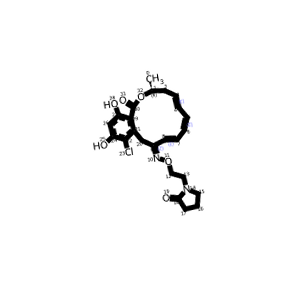 C[C@@H]1C/C=C/C=C\C=C\C(=N/OCCN2CCCC2=O)Cc2c(Cl)c(O)cc(O)c2C(=O)O1